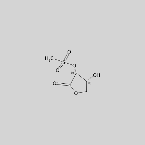 CS(=O)(=O)O[C@H]1C(=O)OC[C@H]1O